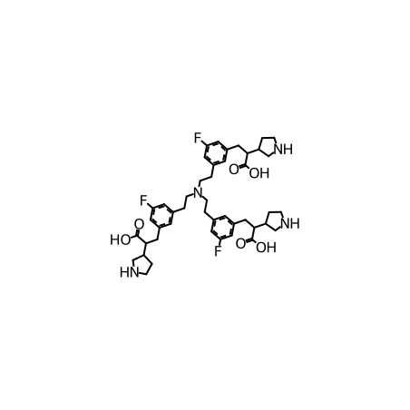 O=C(O)C(Cc1cc(F)cc(CCN(CCc2cc(F)cc(CC(C(=O)O)C3CCNC3)c2)CCc2cc(F)cc(CC(C(=O)O)C3CCNC3)c2)c1)C1CCNC1